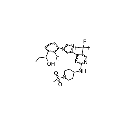 CCC(O)c1cccc(-n2cnc(-c3nc(NC4CCN(S(C)(=O)=O)CC4)ncc3C(F)(F)F)c2)c1Cl